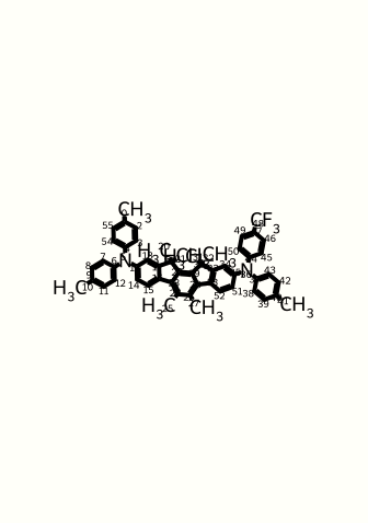 Cc1ccc(N(c2ccc(C)cc2)c2ccc3c(c2)C(C)(C)c2c-3c(C)c(C)c3c2C(C)(C)c2cc(N(c4ccc(C)cc4)c4ccc(C(F)(F)F)cc4)ccc2-3)cc1